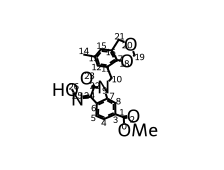 COC(=O)c1ccc2c(c1)N(Cc1cc(C)cc3c1OCOC3)C(=O)/C2=N\O